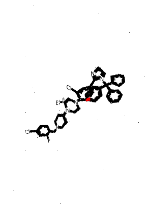 CC[C@H]1CN(c2ncc(-c3nccn3C(c3ccccc3)(c3ccccc3)c3ccccc3)cc2Cl)CCN1C1CCN(Cc2ccc(Cl)cc2F)CC1